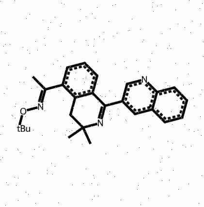 CC(=NOC(C)(C)C)c1cccc2c1CC(C)(C)N=C2c1cnc2ccccc2c1